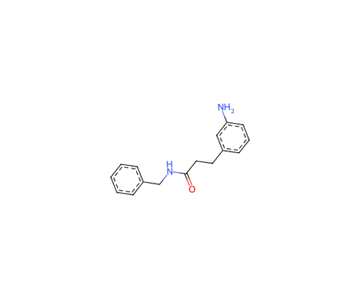 Nc1cccc(CCC(=O)NCc2ccccc2)c1